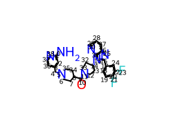 Nc1cc(CN2CCC(C(=O)N3CCC(n4c(-c5ccc(F)c(F)c5)nc5cccnc54)CC3)CC2)ccn1